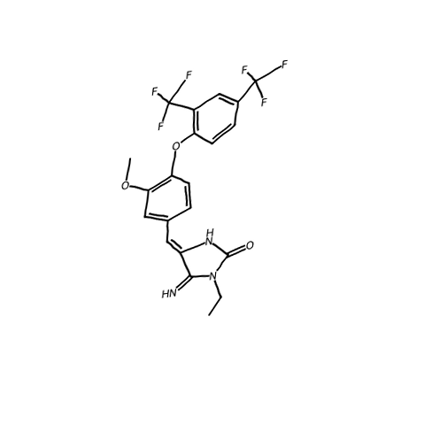 CCN1C(=N)/C(=C/c2ccc(Oc3ccc(C(F)(F)F)cc3C(F)(F)F)c(OC)c2)NC1=O